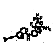 NC1=N[C@](CF)(c2cc(Nc3nccc4cc(C#CC5CC5)cnc34)ccc2F)C[C@@H](C(F)(F)F)O1